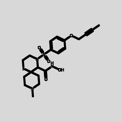 CC#CCOc1ccc(S(=O)(=O)N2CCSC3(CCN(C)CC3)C2C(=O)NO)cc1